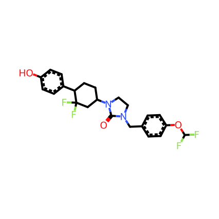 O=C1N(Cc2ccc(OC(F)F)cc2)CCN1C1CCC(c2ccc(O)cc2)C(F)(F)C1